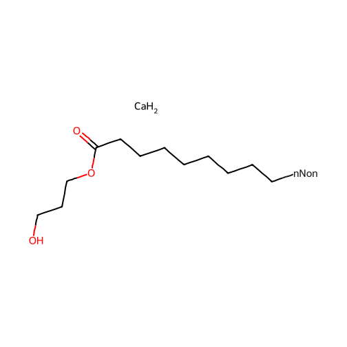 CCCCCCCCCCCCCCCCCC(=O)OCCCO.[CaH2]